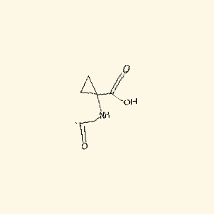 O=[C]NC1(C(=O)O)CC1